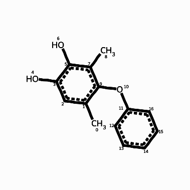 Cc1cc(O)c(O)c(C)c1Oc1ccccc1